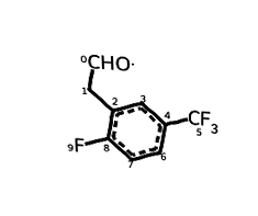 O=[C]Cc1cc(C(F)(F)F)ccc1F